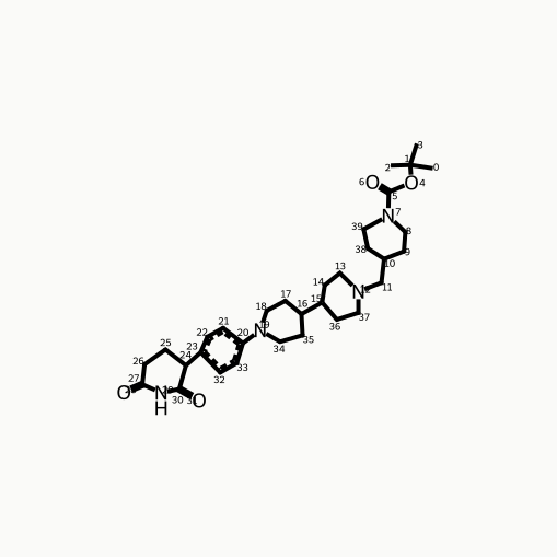 CC(C)(C)OC(=O)N1CCC(CN2CCC(C3CCN(c4ccc(C5CCC(=O)NC5=O)cc4)CC3)CC2)CC1